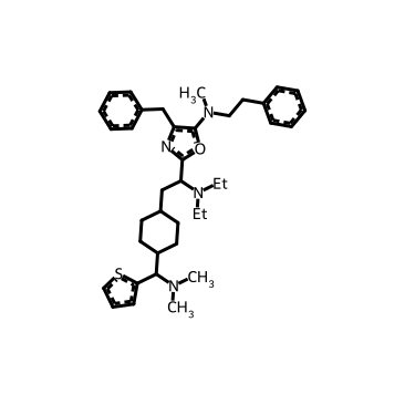 CCN(CC)C(CC1CCC(C(c2cccs2)N(C)C)CC1)c1nc(Cc2ccccc2)c(N(C)CCc2ccccc2)o1